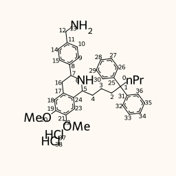 CCCC(CCCC1NC(c2ccc(CN)cc2)Cc2cc(OC)c(OC)cc21)(c1ccccc1)c1ccccc1.Cl.Cl